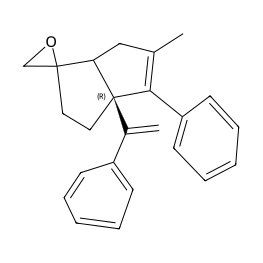 C=C(c1ccccc1)[C@@]12CCC3(CO3)C1CC(C)=C2c1ccccc1